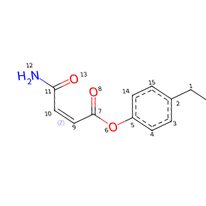 CCc1ccc(OC(=O)/C=C\C(N)=O)cc1